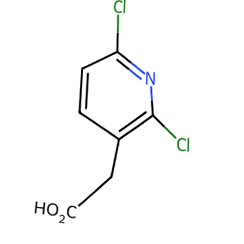 O=C(O)Cc1ccc(Cl)nc1Cl